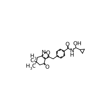 CC1(C)CC(=O)c2c(noc2Cc2ccc(C(=O)NC(O)C3CC3)cc2)C1